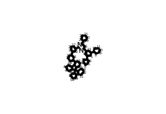 c1ccc(-c2cc(-c3ccccc3)cc(-c3cc(-c4ccccc4)nc(-c4cccc(-c5cccc(-c6cccc7c6-c6ccccc6C7(c6ccccc6)c6ccccc6)c5)c4)n3)c2)cc1